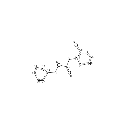 O=C(Cn1cnccc1=O)OCc1ccccc1